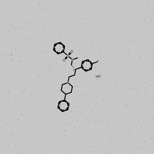 CN(C[C@@H](CCN1CCC(c2ccccc2)CC1)c1ccc(F)cc1)S(=O)(=O)c1ccccc1.Cl